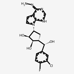 N/N=c1/nc[nH]c2c1ccn2[C@@H]1C[C@H]([C@H](O)c2ccc(F)c(Cl)c2)[C@@H](O)[C@H]1O